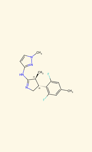 Cc1cc(F)c([C@@H]2CN=C(Nc3ccn(C)n3)[C@H]2C)c(F)c1